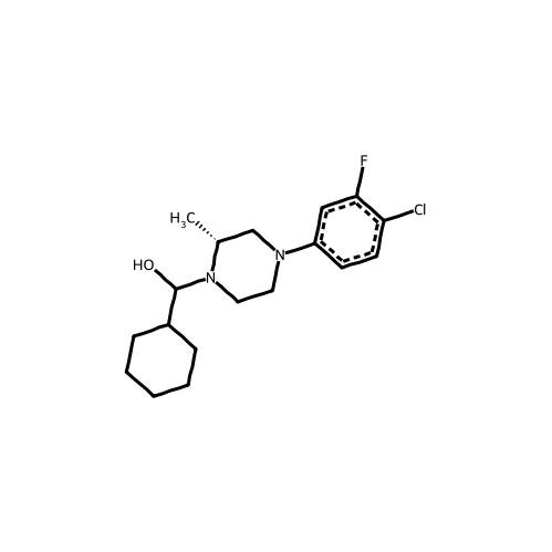 C[C@@H]1CN(c2ccc(Cl)c(F)c2)CCN1C(O)C1CCCCC1